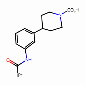 CC(C)C(=O)Nc1cccc(C2CCN(C(=O)O)CC2)c1